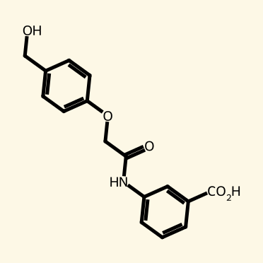 O=C(COc1ccc(CO)cc1)Nc1cccc(C(=O)O)c1